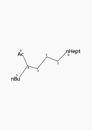 CCCCCCCCCCC(CCCC)C(C)=O